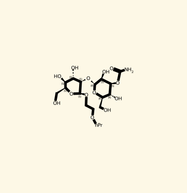 CCCOCCO[C@H]1O[C@@H](CO)[C@@H](O)[C@H](O)[C@@H]1O[C@H]1O[C@H](CO)[C@@H](O)[C@H](OC(N)=O)[C@@H]1O